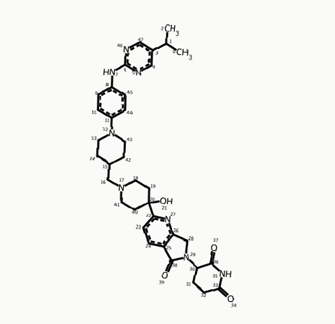 CC(C)c1cnc(Nc2ccc(N3CCC(CN4CCC(O)(c5ccc6c(n5)CN(C5CCC(=O)NC5=O)C6=O)CC4)CC3)cc2)nc1